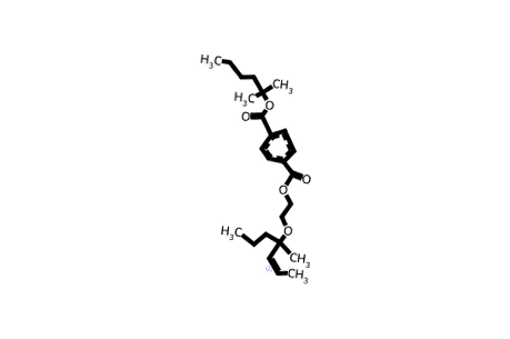 C/C=C\C(C)(CCC)OCCOC(=O)c1ccc(C(=O)OC(C)(C)CCCC)cc1